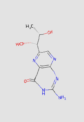 C[C@H](O)[C@@H](O)c1cnc2nc(N)[nH]c(=O)c2n1